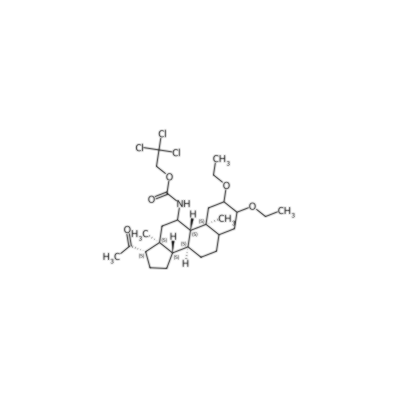 CCOC1CC2CC[C@H]3[C@@H]4CC[C@H](C(C)=O)[C@@]4(C)CC(NC(=O)OCC(Cl)(Cl)Cl)[C@@H]3[C@@]2(C)CC1OCC